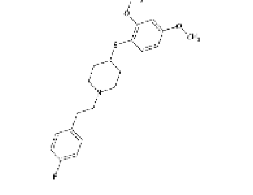 COc1ccc(SC2CCN(CCc3ccc(F)cc3)CC2)c(OC)c1